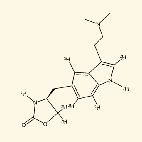 [2H]c1c(C[C@@H]2N([2H])C(=O)OC2([2H])[2H])c([2H])c2c(CCN(C)C)c([2H])n([2H])c2c1[2H]